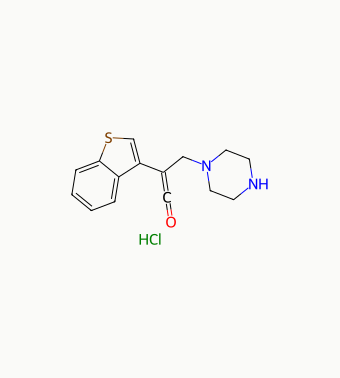 Cl.O=C=C(CN1CCNCC1)c1csc2ccccc12